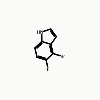 Fc1ccc2[nH]ccc2c1Br